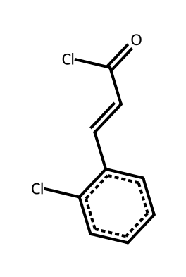 O=C(Cl)C=Cc1ccccc1Cl